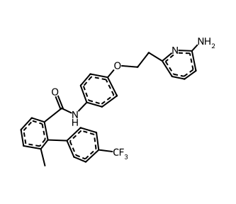 Cc1cccc(C(=O)Nc2ccc(OCCc3cccc(N)n3)cc2)c1-c1ccc(C(F)(F)F)cc1